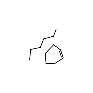 C1=CCCCC1.CCCCCC